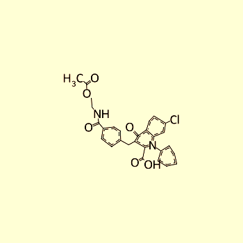 CC(=O)OCCNC(=O)c1ccc(Cc2c(C(=O)O)n(-c3ccccc3)c3cc(Cl)ccc3c2=O)cc1